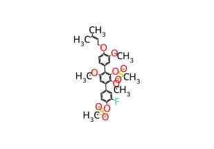 COc1cc(-c2c(OC)cc(-c3ccc(OS(C)(=O)=O)c(F)c3)c(OC)c2OS(C)(=O)=O)ccc1OCC=C(C)C